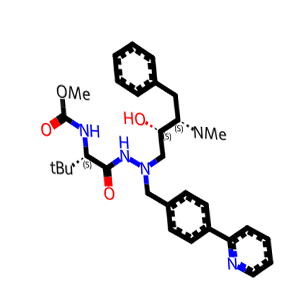 CN[C@@H](Cc1ccccc1)[C@@H](O)CN(Cc1ccc(-c2ccccn2)cc1)NC(=O)[C@@H](NC(=O)OC)C(C)(C)C